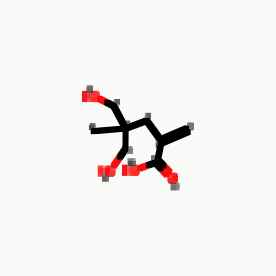 C=C(CC(C)(CO)CO)C(=O)O